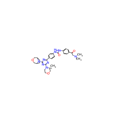 C[C@@H]1COCCN1c1nc(-c2ccc(NC(=O)Nc3ccc(C(=O)CN(C)C)cc3)cc2)nc(N2C3CCC2COC3)n1